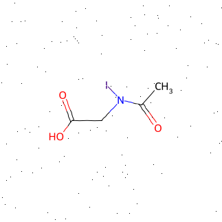 CC(=O)N(I)CC(=O)O